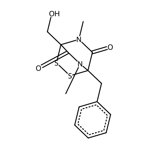 CN1C(=O)C2(Cc3ccccc3)SSC1(CO)C(=O)N2C